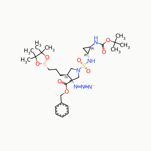 CC(C)(C)OC(=O)N[C@@H]1C[C@H]1NS(=O)(=O)N1C[C@H](CCCB2OC(C)(C)C(C)(C)O2)[C@](N=[N+]=[N-])(C(=O)OCc2ccccc2)C1